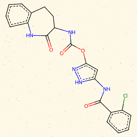 O=C(NC1CCc2ccccc2NC1=O)Oc1cc(NC(=O)c2ccccc2Cl)[nH]n1